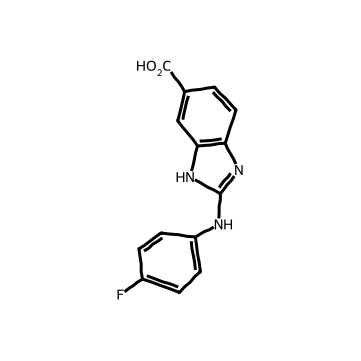 O=C(O)c1ccc2nc(Nc3ccc(F)cc3)[nH]c2c1